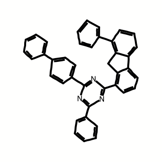 c1ccc(-c2ccc(-c3nc(-c4ccccc4)nc(-c4cccc5c4Cc4c(-c6ccccc6)cccc4-5)n3)cc2)cc1